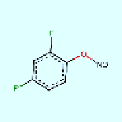 O=NOc1ccc(F)cc1F